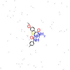 CCOc1ccc2c(C(N)=O)c(NC(=O)Nc3ccc(C)cc3)sc2c1